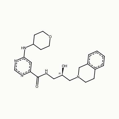 O=C(NC[C@@H](O)CN1CCc2ccccc2C1)c1cc(NC2CCOCC2)ncn1